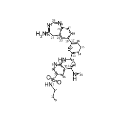 CCCNS(=O)(=O)c1cnc(NCC2=CCC=C(c3ccc4c(c3)CC(N)=NC=N4)S2)c(C(=O)NC)c1